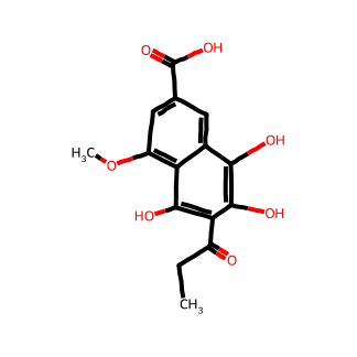 CCC(=O)c1c(O)c(O)c2cc(C(=O)O)cc(OC)c2c1O